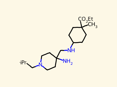 CCOC(=O)C1(C)CCC(NCC2(N)CCN(C[C](C)C)CC2)CC1